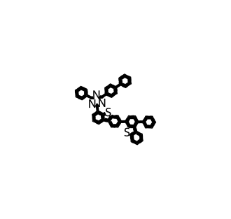 c1ccc(-c2ccc(-c3nc(-c4ccccc4)nc(-c4cccc5c4sc4cc(-c6ccc(-c7ccccc7)c7c6sc6ccccc67)ccc45)n3)cc2)cc1